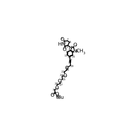 Cn1c(=O)n(C2CCC(=O)NC2=O)c2ccc(C#CCOCCOCCOCCOCC(=O)OC(C)(C)C)cc21